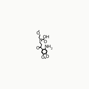 COCCN(CCC(=O)c1cc2c(cc1N)OCO2)C(=O)O